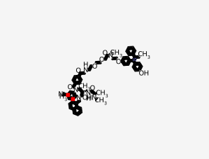 CC/C(=C(\c1ccc(O)cc1)c1ccc(OCCN(C)C(=O)COCCOCCNCC(=O)c2ccc(C(=O)N3c4cc(C#N)ccc4N(Cc4c(OC)ccc5ccccc45)C(=O)[C@@H](CNC(=O)[C@H](C)NC)[C@@H]3C)cc2)cc1)c1ccccc1